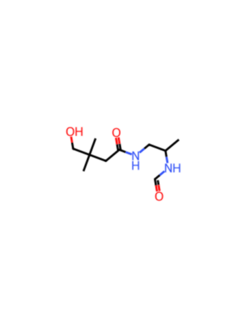 CC(CNC(=O)CC(C)(C)CO)NC=O